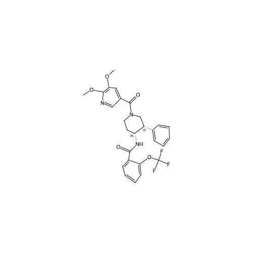 COc1cc(C(=O)N2CC[C@@H](NC(=O)c3ccccc3OC(F)(F)F)[C@@H](c3ccccc3)C2)cnc1OC